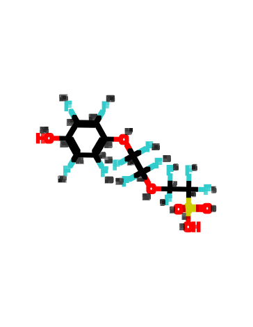 O=S(=O)(O)C(F)(F)C(F)(F)OC(F)(F)C(F)(F)Oc1c(F)c(F)c(O)c(F)c1F